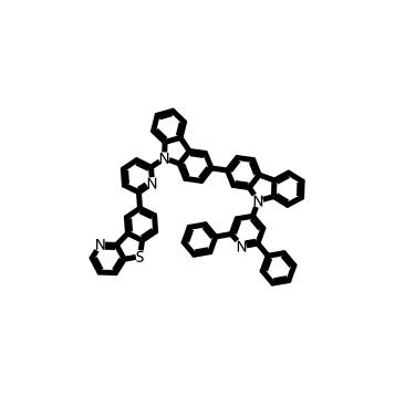 c1ccc(-c2cc(-n3c4ccccc4c4ccc(-c5ccc6c(c5)c5ccccc5n6-c5cccc(-c6ccc7sc8cccnc8c7c6)n5)cc43)cc(-c3ccccc3)n2)cc1